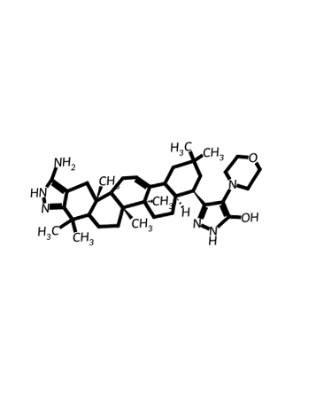 CC1(C)CC2C3=CCC4[C@@]5(C)Cc6c(n[nH]c6N)C(C)(C)C5CC[C@@]4(C)[C@]3(C)CC[C@@H]2[C@H](c2n[nH]c(O)c2N2CCOCC2)C1